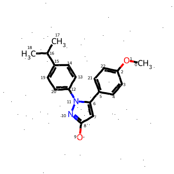 COc1ccc(-c2cc([O])nn2-c2ccc(C(C)C)cc2)cc1